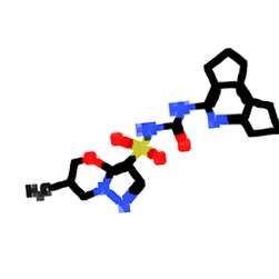 CC1COc2c(S(=O)(=O)NC(=O)Nc3nc4c(c5c3CCC5)CCC4)cnn2C1